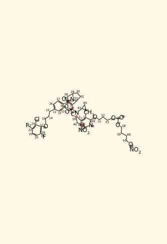 Cc1c(CN(C(=O)C2=C(c3ccc(CCCOc4c(F)ccc(F)c4Cl)cc3)CC3CCC2N3C(=O)OCCCCO[N+](=O)[O-])C2CC2)ccnc1OCCCOC(=O)OCCCCO[N+](=O)[O-]